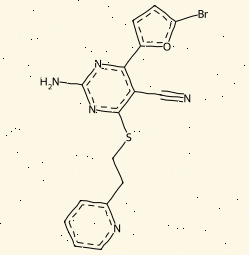 N#Cc1c(SCCc2ccccn2)nc(N)nc1-c1ccc(Br)o1